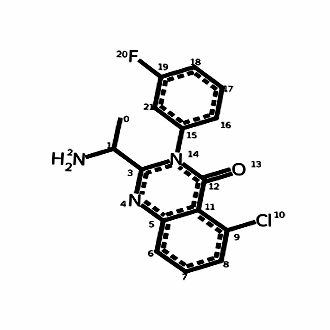 CC(N)c1nc2cccc(Cl)c2c(=O)n1-c1cccc(F)c1